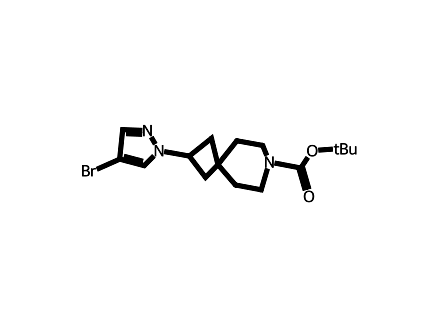 CC(C)(C)OC(=O)N1CCC2(CC1)CC(n1cc(Br)cn1)C2